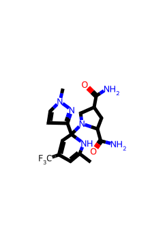 CC1=CC(C(F)(F)F)=CC(c2ccn(C)n2)(N2CC(C(N)=O)CC2C(N)=O)N1